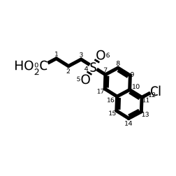 O=C(O)CCCS(=O)(=O)c1ccc2c(Cl)cccc2c1